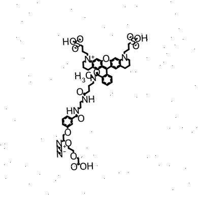 CN(CCCC(=O)NCCNC(=O)c1cccc(OCC(N=[N+]=[N-])OCCOCC(=O)O)c1)C(=O)c1ccccc1C1=c2cc3c(cc2Oc2cc4c(cc21)CCCN4CCCS(=O)(=O)O)=[N+](CCCS(=O)(=O)O)CCC3